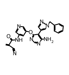 C=C(C#N)C(=O)Nc1cncc(Oc2ncnc(N)c2-c2cnn(Cc3ccccc3)c2)c1